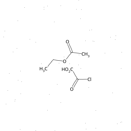 CCOC(C)=O.O=C(O)C(=O)Cl